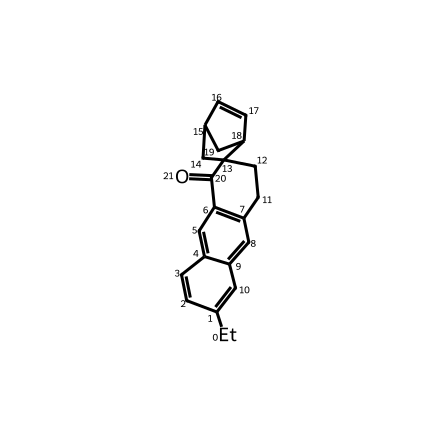 CCc1ccc2cc3c(cc2c1)CCC1(CC2C=CC1C2)C3=O